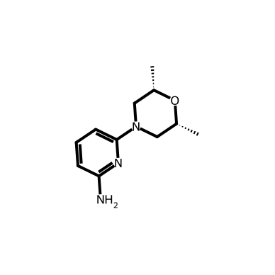 C[C@@H]1CN(c2cccc(N)n2)C[C@H](C)O1